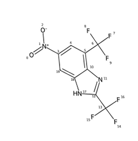 O=[N+]([O-])c1cc(C(F)(F)F)c2nc(C(F)(F)F)[nH]c2c1